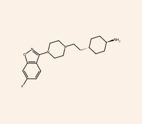 N[C@H]1CC[C@H](CCN2CCN(c3noc4cc(F)ccc34)CC2)CC1